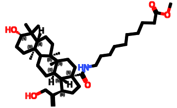 C=C(CO)[C@@H]1CC[C@]2(C(=O)NCCCCCCCCCC(=O)OC)CC[C@]3(C)[C@H](CCC4[C@@]5(C)CC[C@H](O)C(C)(C)[C@@H]5CC[C@]43C)[C@@H]12